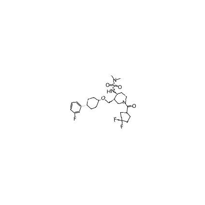 CN(C)S(=O)(=O)N[C@H]1CCN(C(=O)C2CCC(F)(F)C2)C[C@H]1CO[C@H]1CC[C@@H](c2cccc(F)c2)CC1